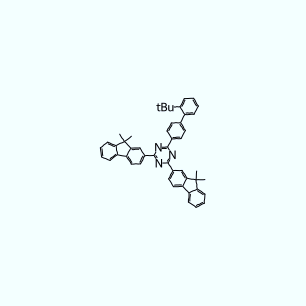 CC(C)(C)c1ccccc1-c1ccc(-c2nc(-c3ccc4c(c3)C(C)(C)c3ccccc3-4)nc(-c3ccc4c(c3)C(C)(C)c3ccccc3-4)n2)cc1